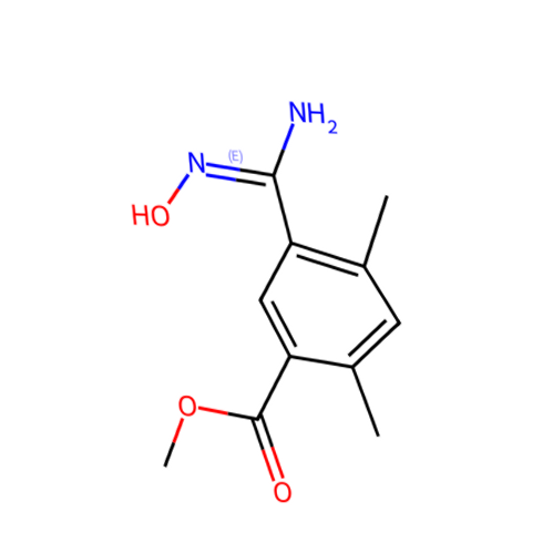 COC(=O)c1cc(/C(N)=N\O)c(C)cc1C